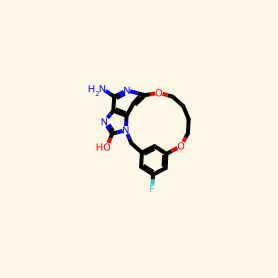 Nc1nc2cc3c1nc(O)n3Cc1cc(F)cc(c1)OCCCCO2